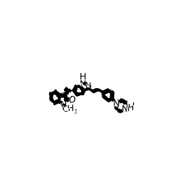 CN1C(=O)[C@@]2(C[C@H]2c2ccc3c(C=Cc4ccc(N5CCNCC5)cc4)n[nH]c3c2)c2ccccc21